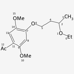 CCOC(C)CCOc1cc(OC)c(C(C)=O)cc1OC